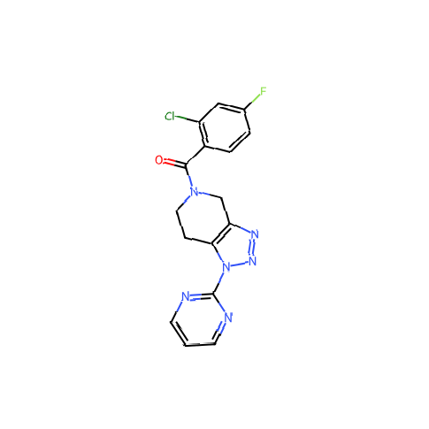 O=C(c1ccc(F)cc1Cl)N1CCc2c(nnn2-c2ncccn2)C1